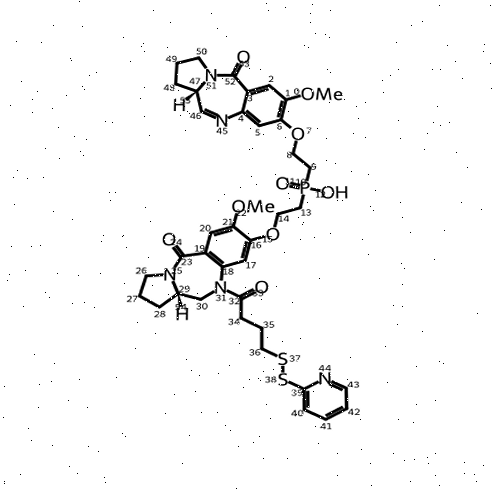 COc1cc2c(cc1OCCP(=O)(O)CCOc1cc3c(cc1OC)C(=O)N1CCC[C@H]1CN3C(=O)CCCSSc1ccccn1)N=C[C@@H]1CCCN1C2=O